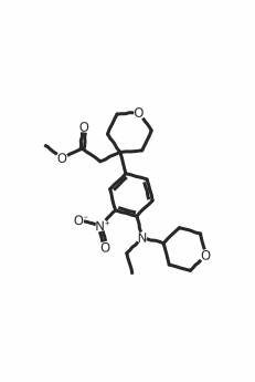 CCN(c1ccc(C2(CC(=O)OC)CCOCC2)cc1[N+](=O)[O-])C1CCOCC1